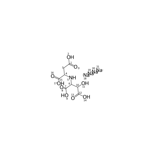 O=C(O)CC(NC(C(=O)O)C(O)C(=O)O)C(=O)O.[Na].[Na].[Na].[Na]